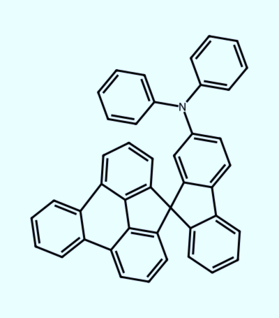 c1ccc(N(c2ccccc2)c2ccc3c(c2)C2(c4ccccc4-3)c3cccc4c5ccccc5c5cccc2c5c34)cc1